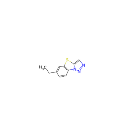 CCc1ccc2c(c1)sc1cnnn12